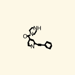 O=C(c1ccnc(C#Cc2ccccc2)c1)N1CCNCC1